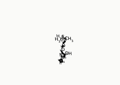 C[Si](C)(C)CCOCOCc1nn(C2CCC2)cc1O